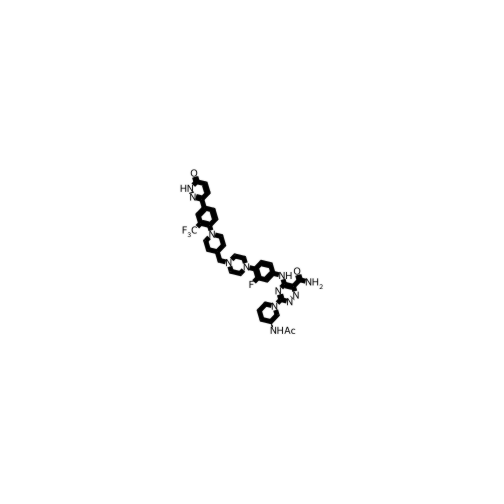 CC(=O)N[C@@H]1CCCN(c2nnc(C(N)=O)c(Nc3ccc(N4CCN(CC5CCN(c6ccc(-c7ccc(=O)[nH]n7)cc6C(F)(F)F)CC5)CC4)c(F)c3)n2)C1